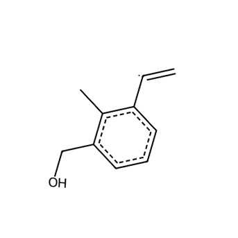 C=[C]c1cccc(CO)c1C